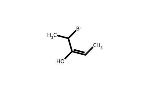 C/C=C(/O)C(C)Br